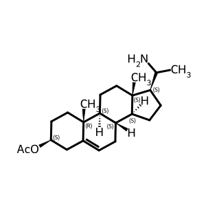 CC(=O)O[C@H]1CC[C@@]2(C)C(=CC[C@H]3[C@@H]4CC[C@H](C(C)N)[C@@]4(C)CC[C@@H]32)C1